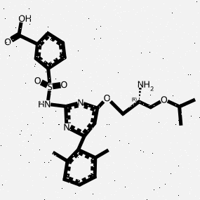 Cc1cccc(C)c1-c1cc(OC[C@H](N)COC(C)C)nc(NS(=O)(=O)c2cccc(C(=O)O)c2)n1